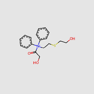 O=C(CO)[N+](CCSCCO)(c1ccccc1)c1ccccc1